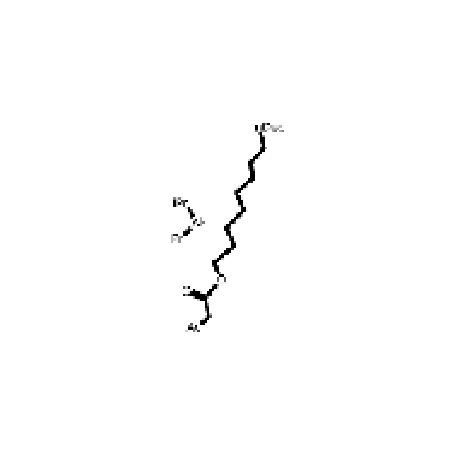 CCCCCCCCCCCCCCCCCCOC(=O)CC(C)=O.C[CH](C)[Al][CH](C)C